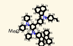 C=Cc1ccc(-n2c3c(c4cc(-c5cc(N(c6ccccc6)c6ccc(OC)cc6)cc(N(c6ccccc6)c6ccc7c(c6)-c6ccccc6C76c7ccccc7-c7ccccc76)c5)ccc42)-c2cccc4cccc-3c24)cc1